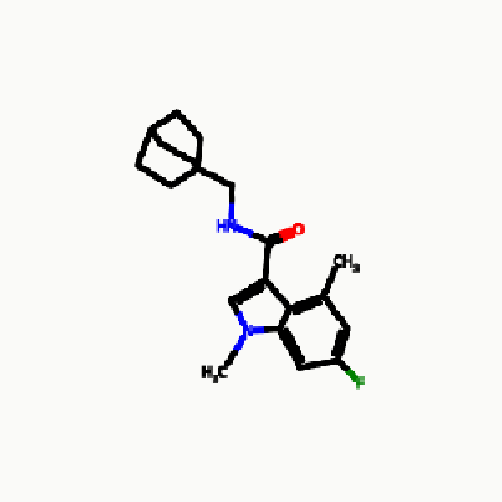 Cc1cc(F)cc2c1c(C(=O)NCC13CCC(CC1)CC3)cn2C